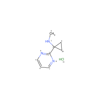 CNC1(c2ncccn2)CC1.Cl